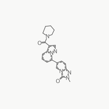 Cn1nc2ccc(-c3cccc4c(C(=O)N5CCCCC5)cnn34)cn2c1=O